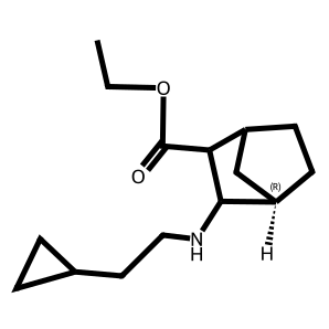 CCOC(=O)C1C2CC[C@H](C2)C1NCCC1CC1